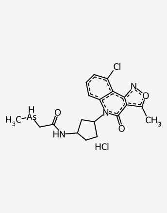 C[AsH]CC(=O)NC1CCC(n2c(=O)c3c(C)onc3c3c(Cl)cccc32)C1.Cl